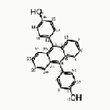 Oc1ccc(-c2c3ccccc3c(-c3ccc(O)cc3)c3ccccc23)cc1